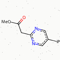 COC(=O)Cc1ncc(C(C)C)cn1